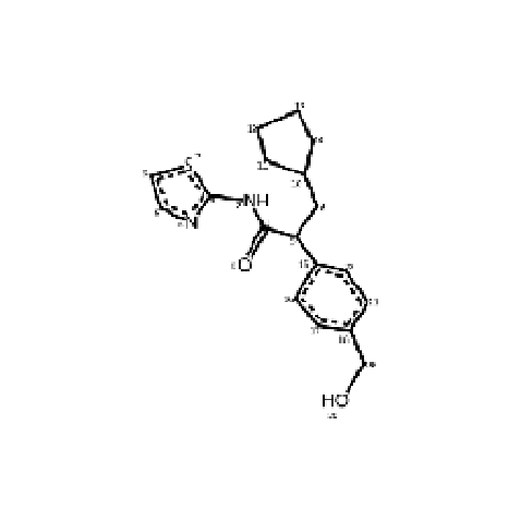 O=C(Nc1nccs1)C(CC1CCCC1)c1ccc(CO)cc1